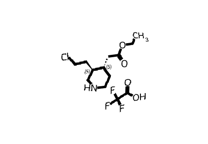 CCOC(=O)C[C@@H]1CCNC[C@H]1CCCl.O=C(O)C(F)(F)F